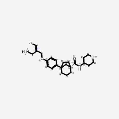 NC/C(=C\F)COc1ccc(C23CCC[C@](C(=O)NC4CCOCC4)(CC2)C3)cc1